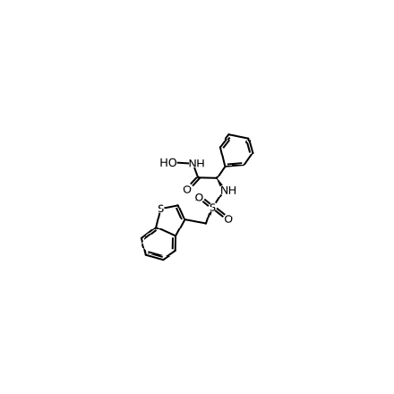 O=C(NO)[C@H](NS(=O)(=O)Cc1csc2ccccc12)c1ccccc1